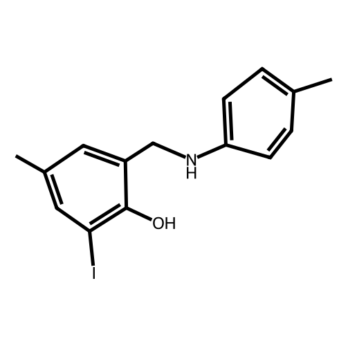 Cc1ccc(NCc2cc(C)cc(I)c2O)cc1